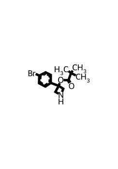 CC(C)(C)C(=O)OC1(c2ccc(Br)cc2)CNC1